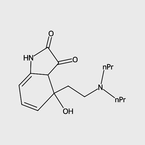 CCCN(CCC)CCC1(O)C=CC=C2NC(=O)C(=O)C21